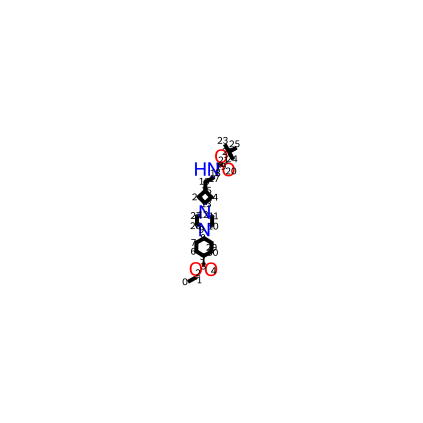 CCOC(=O)[C@H]1CC[C@H](N2CCN(C3CC(CCNC(=O)OC(C)(C)C)C3)CC2)CC1